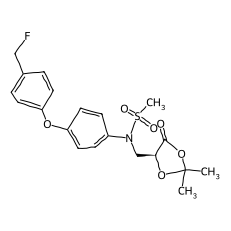 CC1(C)OC(=O)[C@H](CN(c2ccc(Oc3ccc(CF)cc3)cc2)S(C)(=O)=O)O1